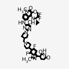 Cn1nc(C2CCC(=O)NC2=O)c2cc(F)c(C3CCN(CC4CCN(c5ncc(Cl)c(Nc6ccc7c(c6)c6c(c(=O)n7C)OCC(F)(F)[C@H](C7CC7)N6)n5)CC4)CC3)c(F)c21